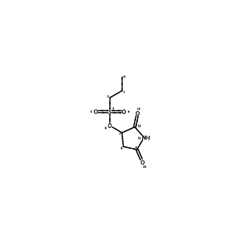 CCCS(=O)(=O)OC1CC(=O)NC1=O